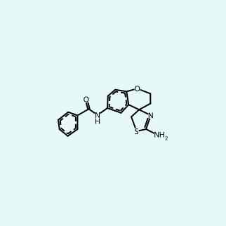 NC1=NC2(CCOc3ccc(NC(=O)c4ccccc4)cc32)CS1